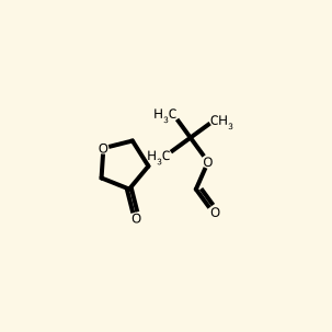 CC(C)(C)OC=O.O=C1CCOC1